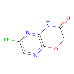 O=C1COc2ncc(Cl)nc2N1